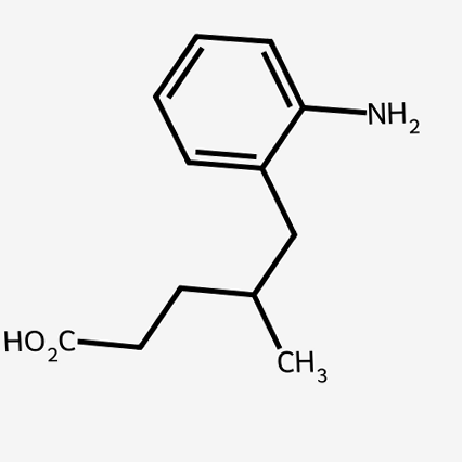 CC(CCC(=O)O)Cc1ccccc1N